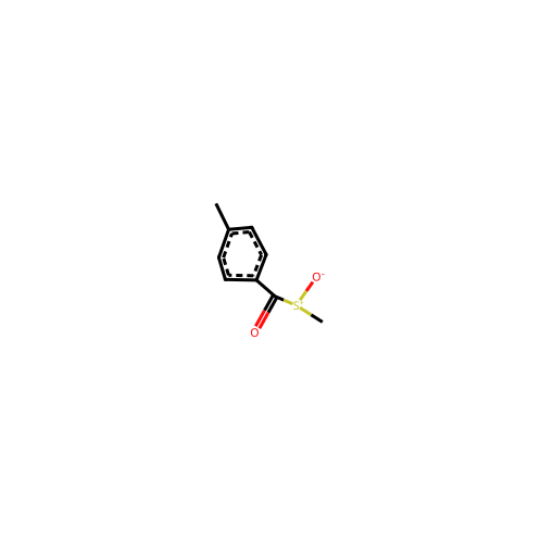 Cc1ccc(C(=O)[S+](C)[O-])cc1